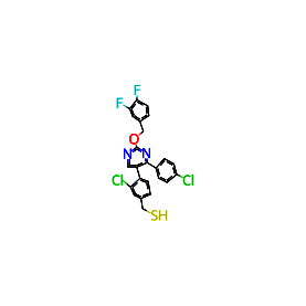 Fc1ccc(COc2ncc(-c3ccc(CS)cc3Cl)c(-c3ccc(Cl)cc3)n2)cc1F